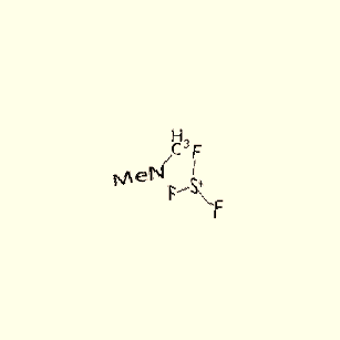 CNC.F[S+](F)F